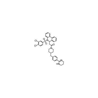 O=C(CC1c2ccccc2-c2ccccc2N1S(=O)(=O)c1ccc(Cl)c(Cl)c1)N1CCC(Cc2ccc(C3=NCCCN3)cc2)CC1